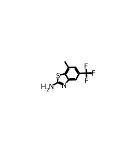 Cc1cc(C(F)(F)F)cc2nc(N)sc12